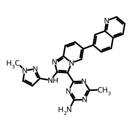 Cc1nc(N)nc(-c2c(Nc3ccn(C)n3)nc3ccc(-c4ccc5cccnc5c4)cn23)n1